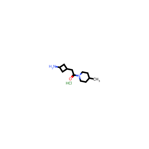 CC1CCN(C(=O)CC2CC(N)C2)CC1.Cl